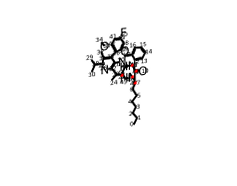 CCCCCCCCNC(=O)Nc1ccccc1C(=O)N(c1c(C(C)C)nc(C(C)C)c(COC)c1-c1ccc(F)cc1)C1CCN(C)CC1